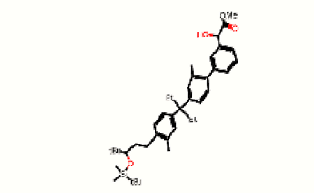 CCC(CC)(c1ccc(CCC(O[Si](C)(C)C(C)(C)C)C(C)(C)C)c(C)c1)c1ccc(-c2cccc(C(O)C(=O)OC)c2)c(C)c1